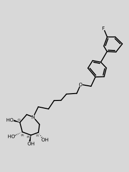 O[C@H]1[C@H](O)[C@@H](O)CN(CCCCCCOCc2ccc(-c3cccc(F)c3)cc2)C[C@@H]1O